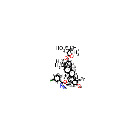 CC(C)C1=C2[C@H]3CC[C@@H]4[C@@]5(C)CC[C@H](OC(=O)CC(C)(C)C(=O)O)C(C)(C)[C@@H]5CC[C@@]4(C)[C@]3(C)CC[C@@]2(Cc2nnc(-c3cccc(F)c3)o2)CC1=O